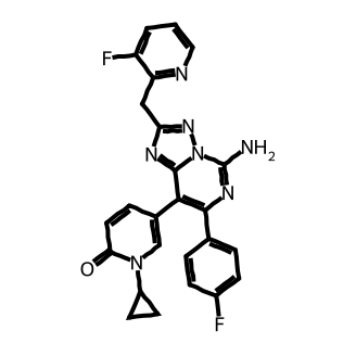 Nc1nc(-c2ccc(F)cc2)c(-c2ccc(=O)n(C3CC3)c2)c2nc(Cc3ncccc3F)nn12